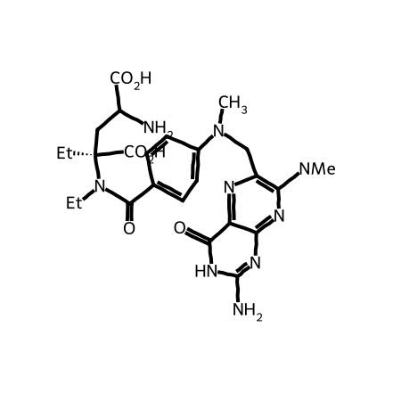 CCN(C(=O)c1ccc(N(C)Cc2nc3c(=O)[nH]c(N)nc3nc2NC)cc1)[C@@](CC)(CC(N)C(=O)O)C(=O)O